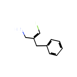 NCC(=CF)Cc1ccccc1